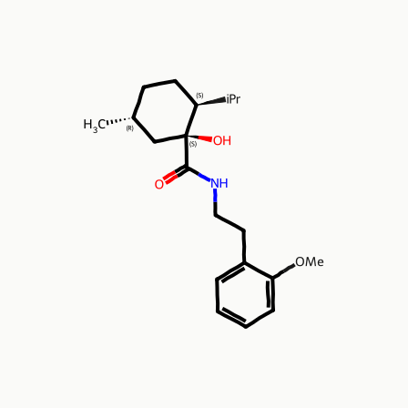 COc1ccccc1CCNC(=O)[C@]1(O)C[C@H](C)CC[C@H]1C(C)C